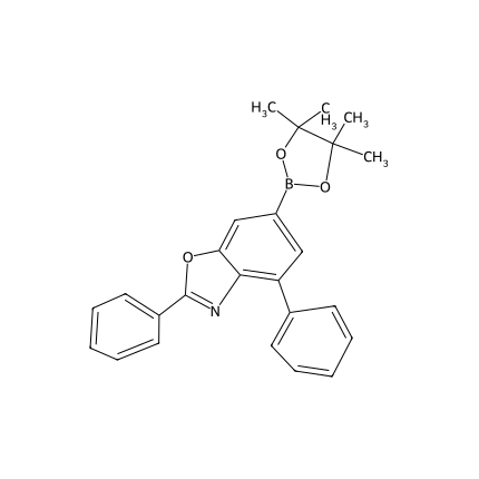 CC1(C)OB(c2cc(-c3ccccc3)c3nc(-c4ccccc4)oc3c2)OC1(C)C